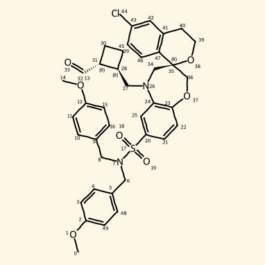 COc1ccc(CN(Cc2ccc(OC)cc2)S(=O)(=O)c2ccc3c(c2)N(C[C@@H]2CC[C@H]2C=O)C[C@]2(CO3)OCCc3cc(Cl)ccc32)cc1